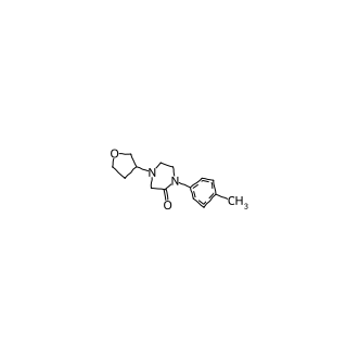 Cc1ccc(N2CCN(C3CCOC3)CC2=O)cc1